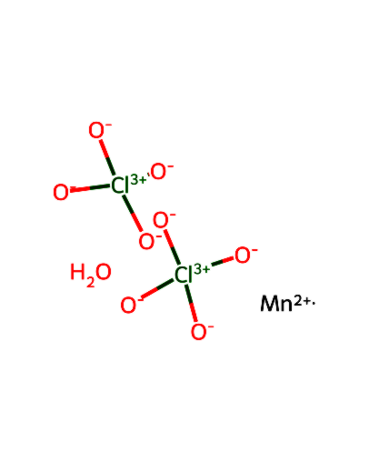 O.[Mn+2].[O-][Cl+3]([O-])([O-])[O-].[O-][Cl+3]([O-])([O-])[O-]